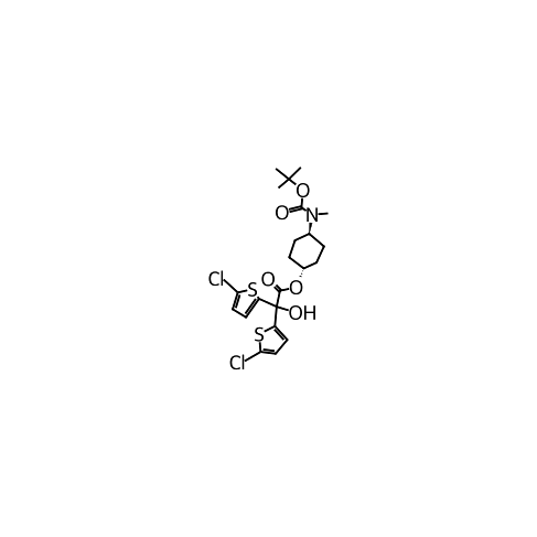 CN(C(=O)OC(C)(C)C)[C@H]1CC[C@H](OC(=O)C(O)(c2ccc(Cl)s2)c2ccc(Cl)s2)CC1